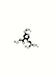 COC(=O)c1cc(OC)ncc1/N=C/N(C)C